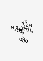 CN(C)c1ccc(C2=C(C#N)C(=C(C#N)C#N)OC2(C)C)cc1OCCCCCN1C(=O)C=CC1=O